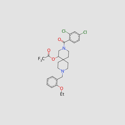 CCOc1ccccc1CN1CCC2(CC1)CCN(C(=O)c1ccc(Cl)cc1Cl)CC2OC(=O)C(F)(F)F